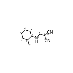 CC1CCCCC1NCC(C#N)C#N